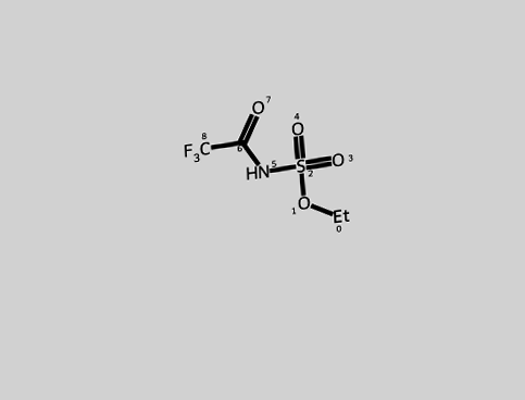 CCOS(=O)(=O)NC(=O)C(F)(F)F